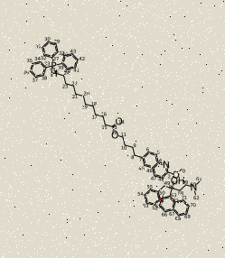 COc1nc2ccc(CCCCOC(=O)CCCCCCCCCCC[PH](c3ccccc3)(c3ccccc3)c3ccccc3)cc2cc1[C@@H](c1ccccc1)[C@@](O)(CCN(C)C)c1cccc2ccccc12